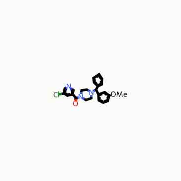 COc1cccc(C(c2ccccc2)N2CCN(C(=O)c3cncc(Cl)c3)CC2)c1